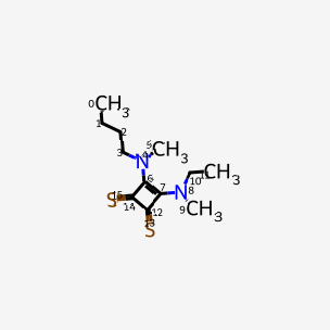 CCCCN(C)c1c(N(C)CC)c(=S)c1=S